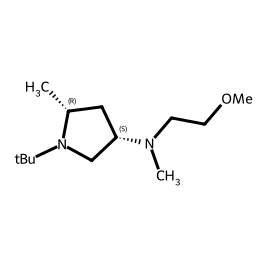 COCCN(C)[C@H]1C[C@@H](C)N(C(C)(C)C)C1